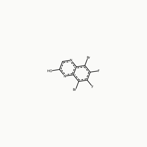 Oc1cnc2c(Br)c(F)c(F)c(Br)c2n1